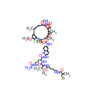 C=C(CBr)C(=O)NCCCCCC(=O)N[C@H](C(=O)N[C@@H](CCCNC(N)=O)C(=O)Nc1ccc2cc(NC(=O)O[C@H]3CC(=O)N(C)c4cc(cc(OC)c4Cl)C/C(C)=C/C=C/[C@@H](OC)[C@@]4(O)C[C@H](OC(=O)N4)[C@@H](C)[C@@H]4O[C@@]34C)ccc2n1)C(C)C